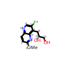 COc1ccc2ncc(F)c(C[C@@H](O)CO)c2n1